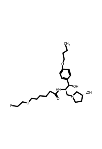 CCCCOc1ccc([C@@H](O)[C@@H](CN2CC[C@@H](O)C2)NC(=O)CCCCCOCCF)cc1